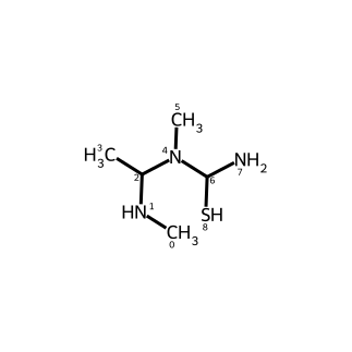 CNC(C)N(C)C(N)S